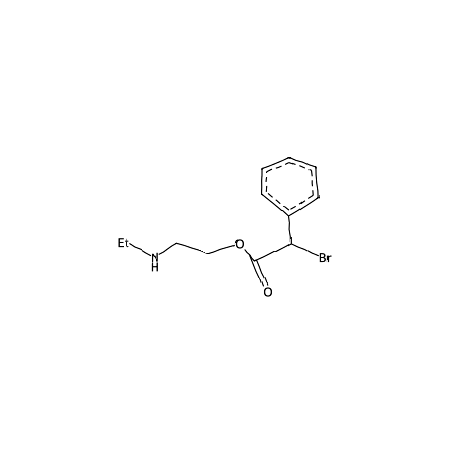 CCNCCOC(=O)C(Br)c1ccccc1